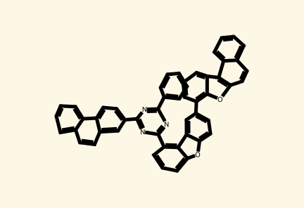 c1ccc(-c2nc(-c3ccc4c(ccc5ccccc54)c3)nc(-c3cccc4oc5ccc(-c6cccc7c6oc6ccc8ccccc8c67)cc5c34)n2)cc1